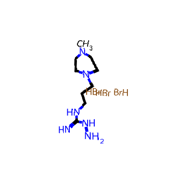 Br.Br.Br.CN1CCN(CCCNC(=N)NN)CC1